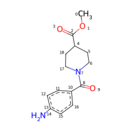 COC(=O)C1CCN(C(=O)c2ccc(N)cc2)CC1